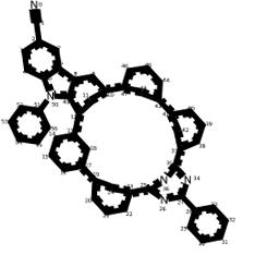 N#Cc1ccc2c(c1)c1cc3cc(c4cccc(c4)c4cccc(c4)c4nc(-c5ccccc5)nc(n4)c4cccc(c4)c4cccc3c4)c1n2-c1ccccc1